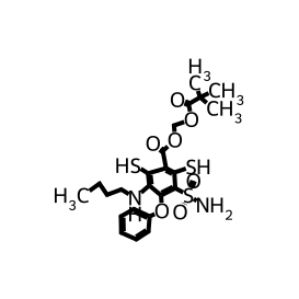 CCCCNc1c(S)c(C(=O)OCOC(=O)C(C)(C)C)c(S)c(S(N)(=O)=O)c1Oc1ccccc1